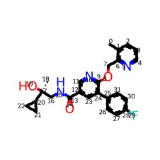 Cc1cccnc1COc1ncc(C(=O)NC[C@](C)(O)C2CC2)cc1-c1ccc(F)cc1